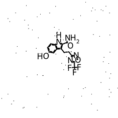 NC(=O)c1[nH]c2ccc(O)cc2c1C[CH]c1noc(C(F)(F)F)n1